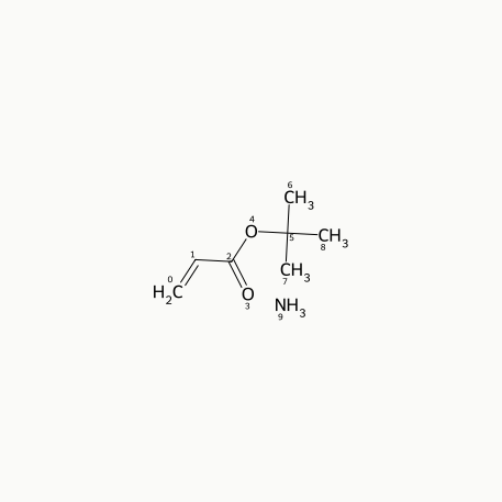 C=CC(=O)OC(C)(C)C.N